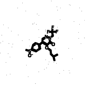 CC(C)CCOc1c(-c2ccc([S+](C)[O-])cc2)cnn(CC(F)(F)F)c1=O